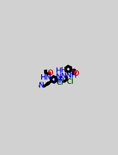 C=CC(=O)NC1CC(NC2NCC(Cl)C(NC3CCCCC3P(C)(C)=O)N2)C(Cl)CC1C#CCN(C)C